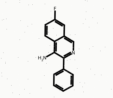 Nc1c(-c2ccccc2)ncc2cc(F)ccc12